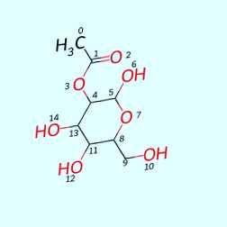 CC(=O)OC1C(O)OC(CO)C(O)C1O